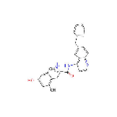 Cc1cc(O)cc(C)c1C[C@H](N)C(=O)Nc1ccnc2ccc(Cc3ccccc3)cc12